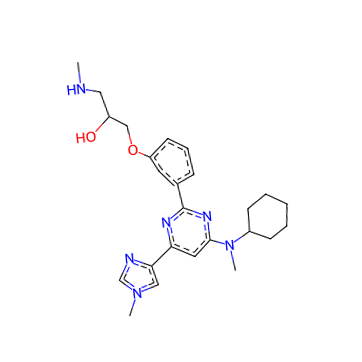 CNCC(O)COc1cccc(-c2nc(-c3cn(C)cn3)cc(N(C)C3CCCCC3)n2)c1